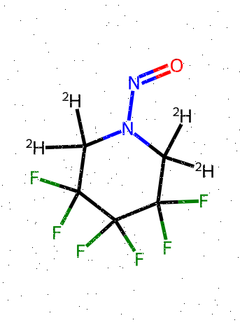 [2H]C1([2H])N(N=O)C([2H])([2H])C(F)(F)C(F)(F)C1(F)F